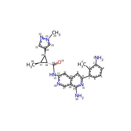 Cc1c(N)cccc1-c1cc2cc(NC(=O)[C@@H]3[C@@H](C)[C@H]3c3cnn(C)c3)ncc2c(N)n1